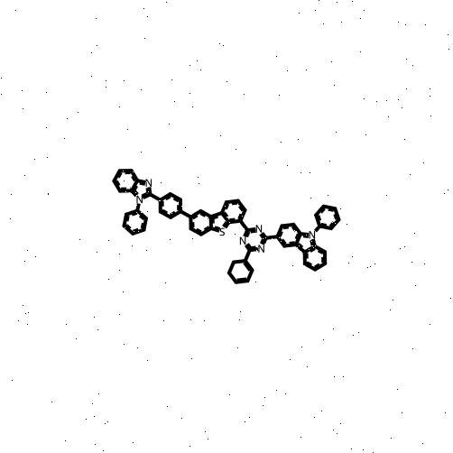 C1=CCCC(c2nc(-c3ccc4c(c3)c3ccccc3n4-c3ccccc3)nc(-c3cccc4c3sc3ccc(-c5ccc(-c6nc7ccccc7n6-c6ccccc6)cc5)cc34)n2)=C1